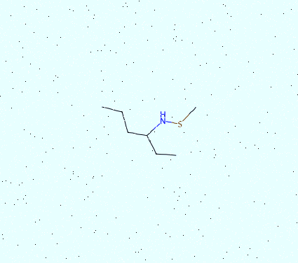 CCCC(CC)NSC